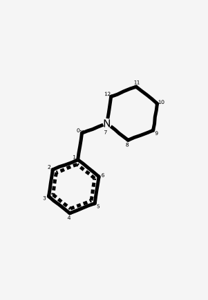 [C](c1ccccc1)N1CCCCC1